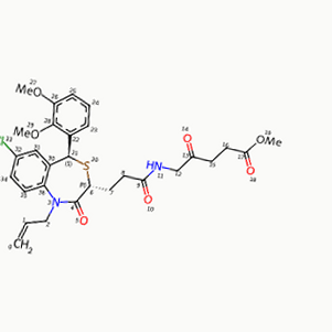 C=CCN1C(=O)[C@@H](CCC(=O)NCC(=O)CCC(=O)OC)S[C@H](c2cccc(OC)c2OC)c2cc(Cl)ccc21